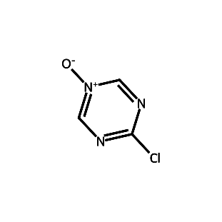 [O-][n+]1cnc(Cl)nc1